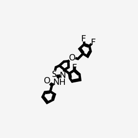 O=C(NC1=NC2(c3ccccc3F)CC(OCc3ccc(F)c(F)c3)CC2CS1)c1ccccc1